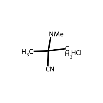 CNC(C)(C)C#N.Cl